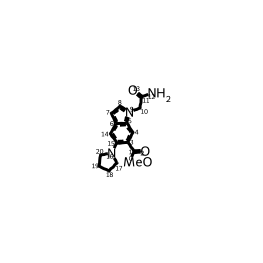 COC(=O)c1cc2c(ccn2CC(N)=O)cc1N1CCCC1